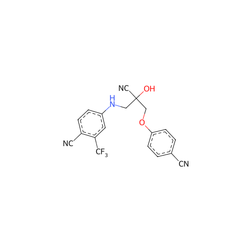 N#Cc1ccc(OCC(O)(C#N)CNc2ccc(C#N)c(C(F)(F)F)c2)cc1